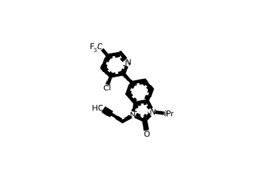 C#CCn1c(=O)n(C(C)C)c2ccc(-c3ncc(C(F)(F)F)cc3Cl)cc21